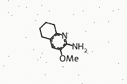 COc1cc2c(nc1N)CCCC2